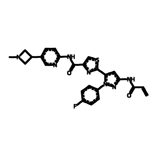 C=CC(=O)Nc1cc(-c2nc(C(=O)Nc3ccc(C4CN(C)C4)cn3)cs2)n(-c2ccc(F)cc2)n1